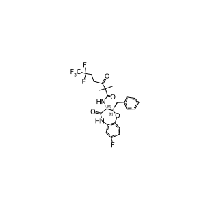 CC(C)(C(=O)CCC(F)(F)C(F)(F)F)C(=O)N[C@H]1C(=O)Nc2cc(F)ccc2O[C@@H]1Cc1ccccc1